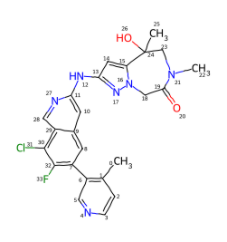 Cc1ccncc1-c1cc2cc(Nc3cc4n(n3)CC(=O)N(C)CC4(C)O)ncc2c(Cl)c1F